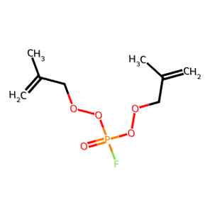 C=C(C)COOP(=O)(F)OOCC(=C)C